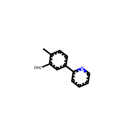 Cc1ccc(-c2ccccn2)cc1C=O